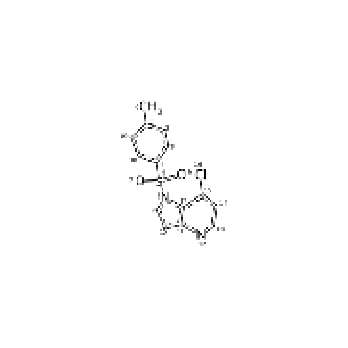 Cc1ccc(S(=O)(=O)n2ccc3nccc(Cl)c32)cc1